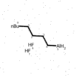 CCCCCCC[CH2][AlH2].F.F